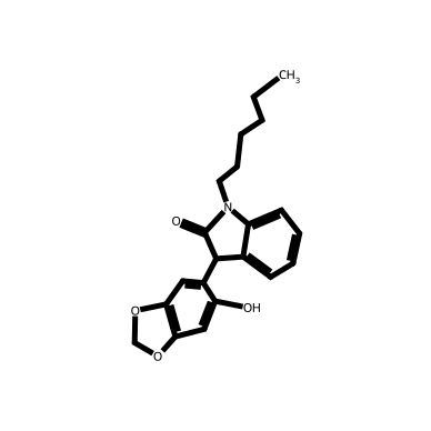 CCCCCCN1C(=O)C(c2cc3c(cc2O)OCO3)c2ccccc21